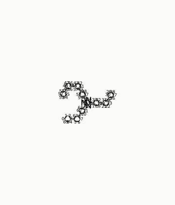 c1ccc(-c2cccc(-c3ccc(-c4nc(-c5ccc(-c6cccc(-c7ccccc7)c6)cc5)nc(-c5ccc(-c6cccc(-c7cccc(-c8ccccc8)c7)c6)cc5)n4)cc3)c2)cc1